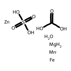 O.O=C(O)O.O=S(=O)(O)O.[Fe].[MgH2].[Mn].[Zn]